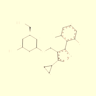 CC[C@@H]1CC(C)CC(OCc2c(-c3c(C)cccc3C)noc2C2CC2)C1